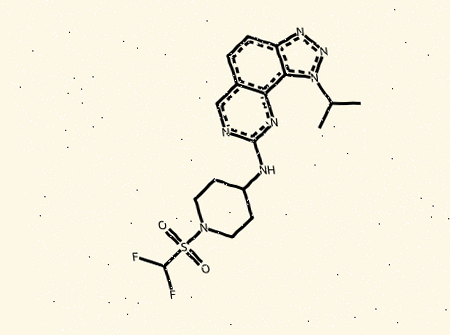 CC(C)n1nnc2ccc3cnc(NC4CCN(S(=O)(=O)C(F)F)CC4)nc3c21